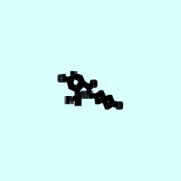 CC(C)Nc1cc(Cl)ncc1C(=O)NC1CC2(CC(=O)C2)C1